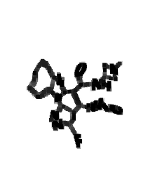 CNc1c(C(=O)NC2CN(C)C2)c2nc3ccccc3n2c2nnc(F)cc12